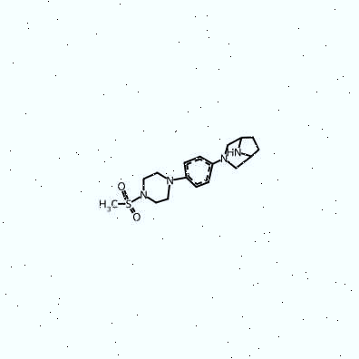 CS(=O)(=O)N1CCN(c2ccc(N3CC4CCC(C3)N4)cc2)CC1